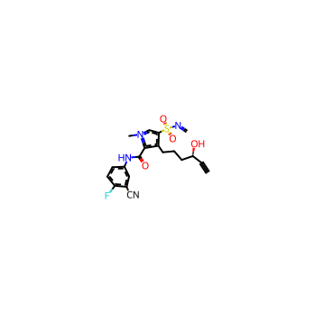 C#C[C@H](O)CCCc1c(S(=O)(=O)N=C)cn(C)c1C(=O)Nc1ccc(F)c(C#N)c1